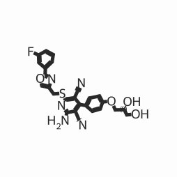 N#Cc1c(N)nc(SCc2coc(-c3cccc(F)c3)n2)c(C#N)c1-c1ccc(OC[C@H](O)CO)cc1